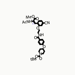 COC(=O)/C(=C\c1ccc(C#N)cc1OCCNC(=O)c1ccc(OC2CCN(C(=O)OC(C)(C)C)CC2)cc1)NC(C)=O